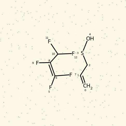 C=CCSO.FC(F)=C(F)C(F)F